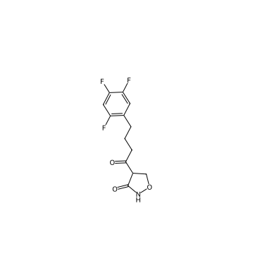 O=C(CCCc1cc(F)c(F)cc1F)C1CONC1=O